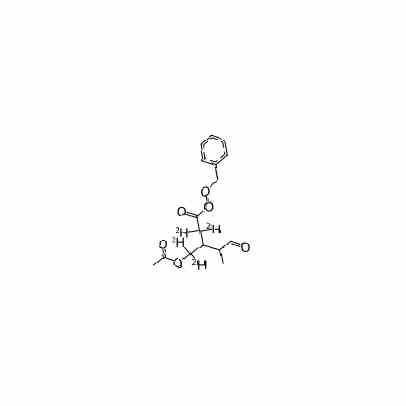 [2H]C([2H])(OC(C)=O)C(C(C)C=O)C([2H])([2H])C(=O)OOCc1ccccc1